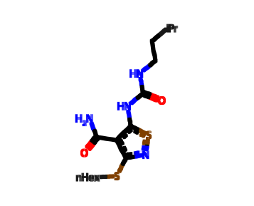 CCCCCCSc1nsc(NC(=O)NCCC(C)C)c1C(N)=O